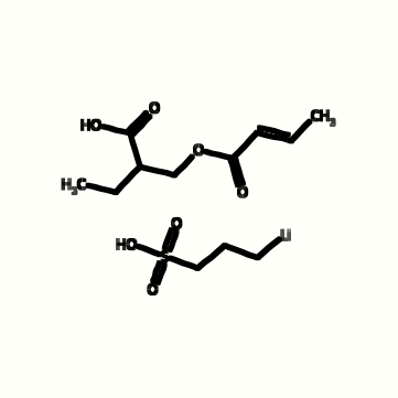 CC=CC(=O)OCC(CC)C(=O)O.[Li][CH2]CCS(=O)(=O)O